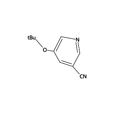 CC(C)(C)Oc1cncc(C#N)c1